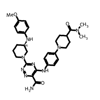 COc1ccc(N[C@@H]2CCCN(c3nnc(C(N)=O)c(Nc4ccc(N5CCC(C(=O)N(C)C)CC5)cc4)n3)C2)cc1